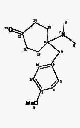 COc1ccc(CC2(N(C)C)CCC(=O)CC2)cc1